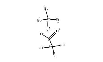 CC[P+](CC)(CC)CC.O=C([O-])C(F)(F)F